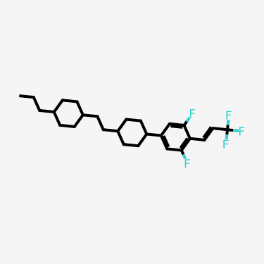 CCCC1CCC(CCC2CCC(c3cc(F)c(/C=C/C(F)(F)F)c(F)c3)CC2)CC1